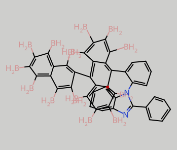 Bc1c(B)c(B)c2c(B)c(-c3c4c(B)c(B)c(B)c(B)c4c(-c4ccccc4-n4c(-c5ccccc5)nc5ccccc54)c4c(B)c(B)c(B)c(B)c34)c(B)c(B)c2c1B